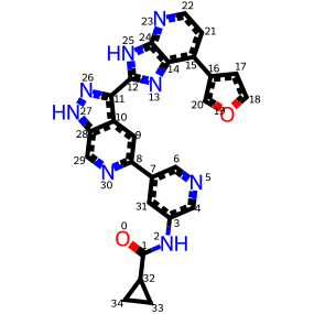 O=C(Nc1cncc(-c2cc3c(-c4nc5c(-c6ccoc6)ccnc5[nH]4)n[nH]c3cn2)c1)C1CC1